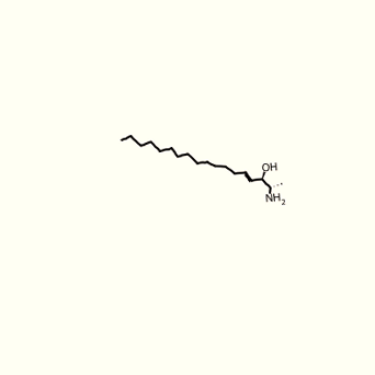 CCCCCCCCCCCCC/C=C/[C@@H](O)[C@H](C)N